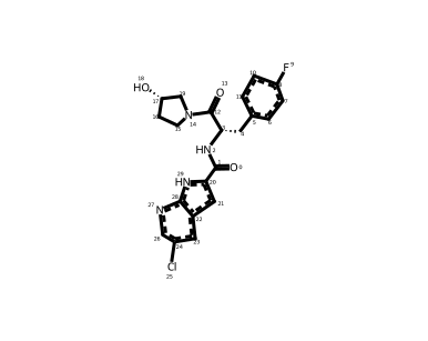 O=C(N[C@@H](Cc1ccc(F)cc1)C(=O)N1CC[C@H](O)C1)c1cc2cc(Cl)cnc2[nH]1